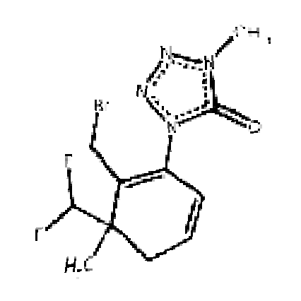 Cn1nnn(C2=C(CBr)C(C)(C(F)F)CC=C2)c1=O